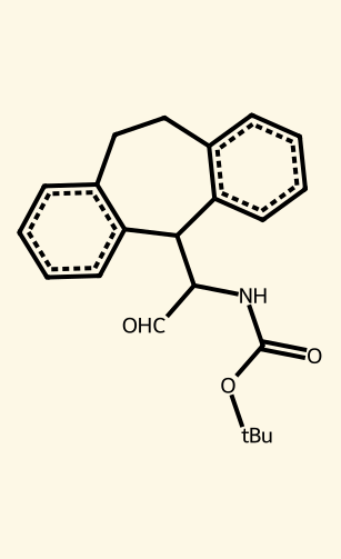 CC(C)(C)OC(=O)NC(C=O)C1c2ccccc2CCc2ccccc21